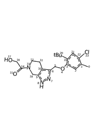 Cc1cc(OCc2n[nH]c3c2CCN(C(=O)CO)C3)c(C(C)(C)C)cc1Cl